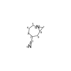 N#CC1CCCN2CC2C1